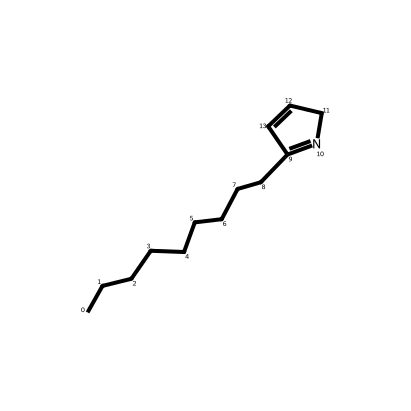 CCCCCCCCCC1=NCC=C1